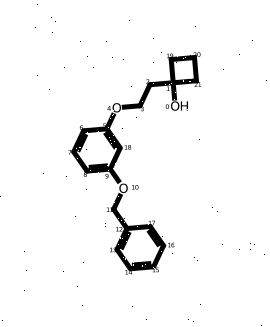 OC1(CCOc2cccc(OCc3ccccc3)c2)CCC1